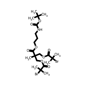 CC(C)(C)OC(=O)NCCCOC(=O)C(C)(COC(=O)C(C)(C)Br)COC(=O)C(C)(C)Br